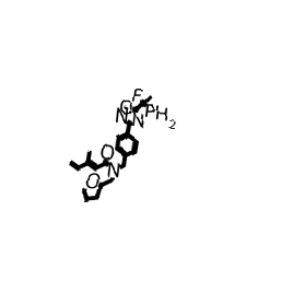 CC/C(C)=C/C(=O)N(Cc1ccc(-c2noc(C(C)(F)P)n2)cc1)CC1CCCO1